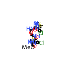 COC(=O)C[C@@H]1N=C(c2ccc(Cl)cc2)c2c(sc(C(=O)NCC(C)(C)COCC(C)CNC(=O)C[C@@H]3N=C(c4ccc(Cl)cc4)c4c(sc(C)c4C)-n4c(C)nnc43)c2C)-n2c(C)nnc21